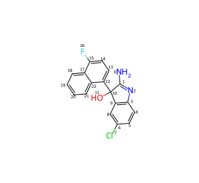 NC1=Nc2ccc(Cl)cc2C1(O)c1ccc(F)c2ccccc12